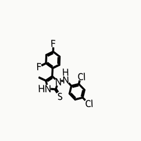 Cc1[nH]c(=S)n(Nc2ccc(Cl)cc2Cl)c1-c1ccc(F)cc1F